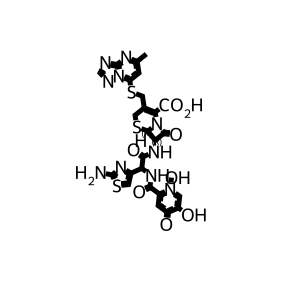 Cc1cc(SCC2=C(C(=O)O)N3C(=O)[C@@H](NC(=O)C(NC(=O)c4cc(=O)c(O)cn4O)c4csc(N)n4)[C@H]3SC2)n2ncnc2n1